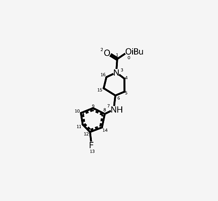 CC(C)COC(=O)N1CCC(Nc2cccc(F)c2)CC1